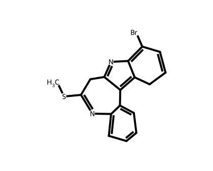 CSC1=Nc2ccccc2C2=C3CC=CC(Br)=C3N=C2C1